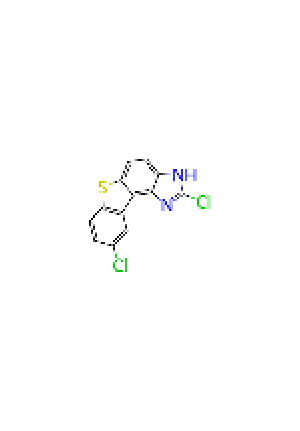 Clc1ccc2sc3ccc4[nH]c(Cl)nc4c3c2c1